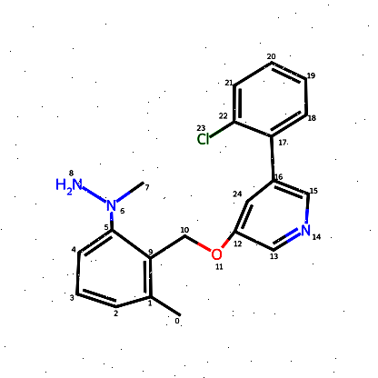 Cc1cccc(N(C)N)c1COc1cncc(-c2ccccc2Cl)c1